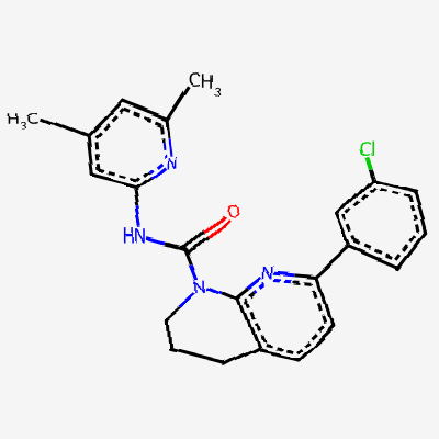 Cc1cc(C)nc(NC(=O)N2CCCc3ccc(-c4cccc(Cl)c4)nc32)c1